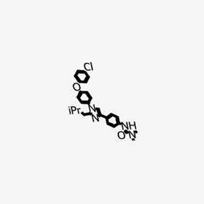 CC(C)Cc1nc(-c2ccc(NC(=O)N(C)C)cc2)cn1-c1ccc(Oc2ccc(Cl)cc2)cc1